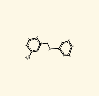 Nc1cccc(COc2[c]cccc2)c1